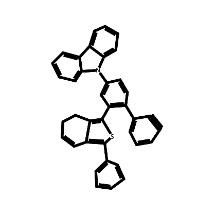 c1cccc(-c2ccc(-n3c4ccccc4c4ccccc43)cc2-c2sc(-c3ccccc3)c3c2CCC=C3)c#1